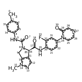 Cc1ccc(NC(=O)N2Cc3c(cnn3C)[C@@H]2C(=O)Nc2ccc(-n3ccncc3=O)cc2F)cc1